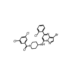 O=C(c1cc(Cl)cc(Cl)c1)N1CCC(Nc2cc(-c3ccccc3Cl)nc3c(Br)cnn23)CC1